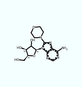 Nc1ncnc2c1nc(N1CCOCC1)n2[C@H]1O[C@@H](CO)[C@@H](O)C1O